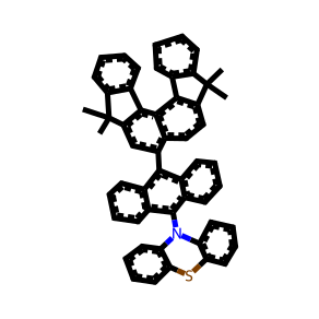 CC1(C)c2ccccc2-c2c1ccc1c(-c3c4ccccc4c(N4c5ccccc5Sc5ccccc54)c4ccccc34)cc3c(c21)-c1ccccc1C3(C)C